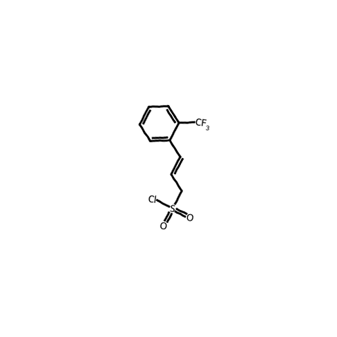 O=S(=O)(Cl)CC=Cc1ccccc1C(F)(F)F